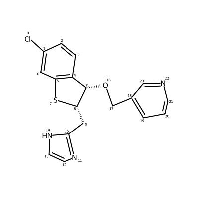 Clc1ccc2c(c1)S[C@@H](Cc1ncc[nH]1)[C@H]2OCc1cccnc1